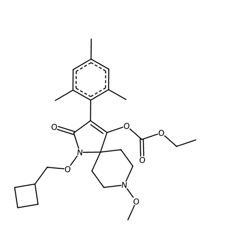 CCOC(=O)OC1=C(c2c(C)cc(C)cc2C)C(=O)N(OCC2CCC2)C12CCN(OC)CC2